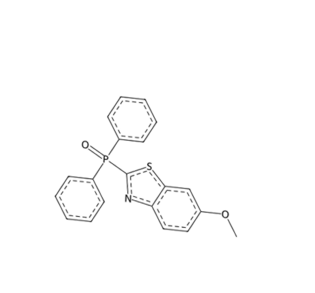 COc1ccc2nc(P(=O)(c3ccccc3)c3ccccc3)sc2c1